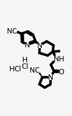 CC1(NCC(=O)N2CCC[C@H]2C#N)CCN(c2ccc(C#N)cn2)CC1.Cl.Cl